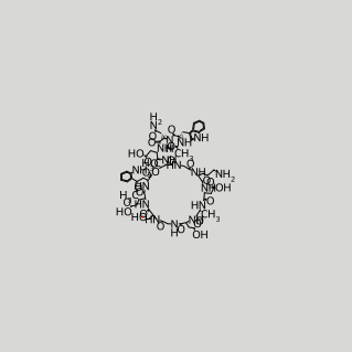 CC(=O)N[C@@H](Cc1c[nH]c2ccccc12)C(=O)N[C@@H](CC(N)=O)C(=O)NC(CC(=O)O)C(=O)NC1C(=O)NCC(=O)NC(CCCN)C(=O)NC(CC(=O)O)C(=O)NC(C)C(=O)NC(CC(=O)O)C(=O)NCC(=O)NC(CO)C(=O)NC(C(C)CC(=O)O)C(=O)NC(CC(=O)c2ccccc2N)C(=O)OC1C